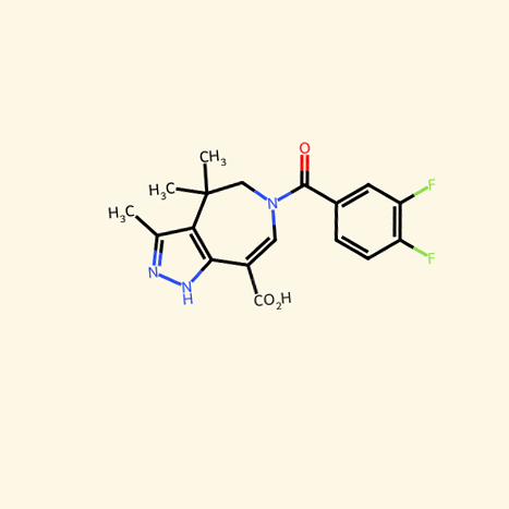 Cc1n[nH]c2c1C(C)(C)CN(C(=O)c1ccc(F)c(F)c1)C=C2C(=O)O